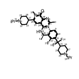 Cc1nc(N[C@H](C)c2cccc(C(F)(F)C3CCN(C(C)C)CC3)c2F)c2cc(C3CCN(C(C)C)CC3)n(C)c(=O)c2n1